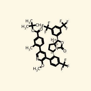 COc1ncc(-c2ccc(C(=O)OC(C)(C)C)cc2C)cc1-c1ccc(C(F)(F)F)cc1[C@@H]1CC[C@H]2[C@@H](c3cc(C(F)(F)F)cc(C(F)(F)F)c3)OC(=O)N12